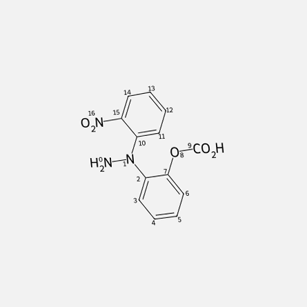 NN(c1ccccc1OC(=O)O)c1ccccc1[N+](=O)[O-]